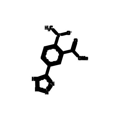 COC(=O)c1cc(-c2nnn[nH]2)ccc1[S+](C)[O-]